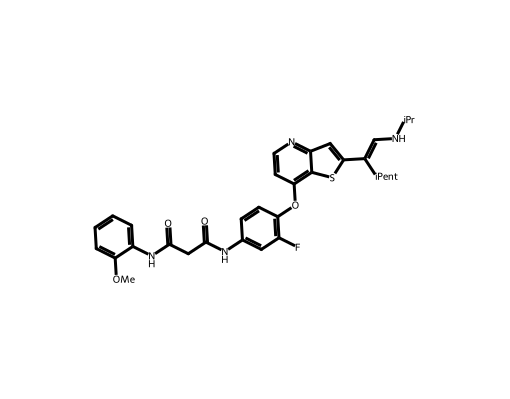 CCCC(C)/C(=C\NC(C)C)c1cc2nccc(Oc3ccc(NC(=O)CC(=O)Nc4ccccc4OC)cc3F)c2s1